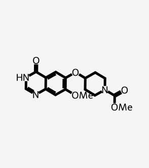 COC(=O)N1CCC(Oc2cc3c(=O)[nH]cnc3cc2OC)CC1